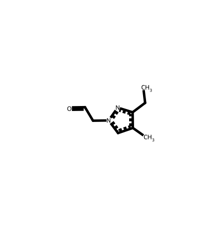 CCc1nn(CC=O)cc1C